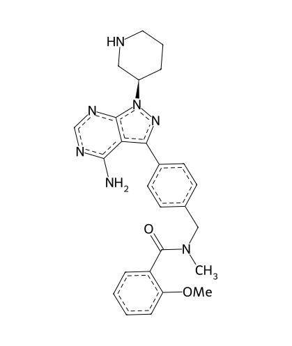 COc1ccccc1C(=O)N(C)Cc1ccc(-c2nn([C@@H]3CCCNC3)c3ncnc(N)c23)cc1